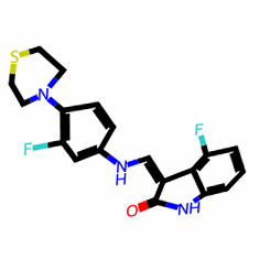 O=C1Nc2cccc(F)c2C1=CNc1ccc(N2CCSCC2)c(F)c1